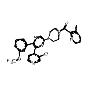 Cc1cccnc1C(=O)N1CCN(c2cnc(-c3cccc(OC(F)(F)F)c3)c(-c3ccncc3Cl)n2)CC1